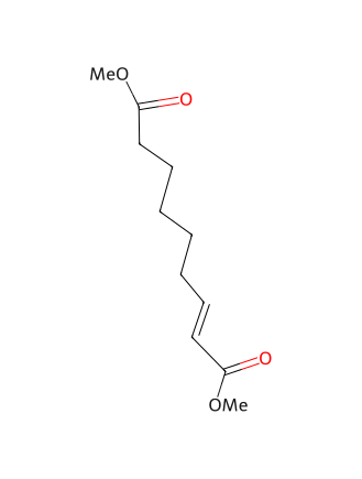 COC(=O)/C=C/CCCCCC(=O)OC